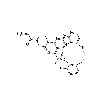 C=CC(=O)N1CCN(c2nc(=O)n3c4nc(c(F)cc24)-c2c(F)cccc2CCCNc2ccnc(C(C)C)c2-3)[C@@H](C)C1